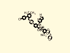 CC1(C)CCC(CN2CCN(c3ccc(C(=O)NS(=O)(=O)c4cc5c(c([N+](=O)[O-])c4)O[C@@H](CN4CCOCC4)CO5)c(Oc4cnc5[nH]ccc5c4)c3)CC2)=C(c2ccc(Cl)cc2)C1